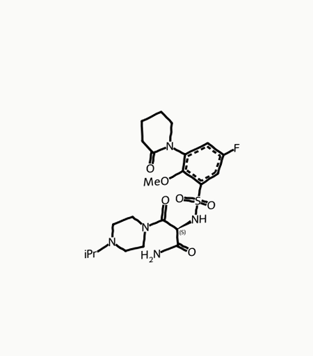 COc1c(N2CCCCC2=O)cc(F)cc1S(=O)(=O)N[C@@H](C(N)=O)C(=O)N1CCN(C(C)C)CC1